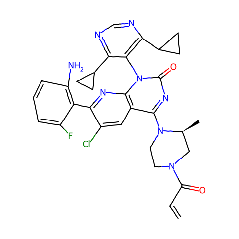 C=CC(=O)N1CCN(c2nc(=O)n(-c3c(C4CC4)ncnc3C3CC3)c3nc(-c4c(N)cccc4F)c(Cl)cc23)[C@@H](C)C1